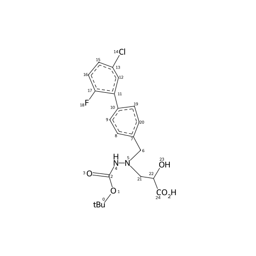 CC(C)(C)OC(=O)NN(Cc1ccc(-c2cc(Cl)ccc2F)cc1)CC(O)C(=O)O